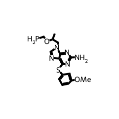 COc1cccc(Sc2nc(N)nc3c2ncn3CC(C)OCP)c1